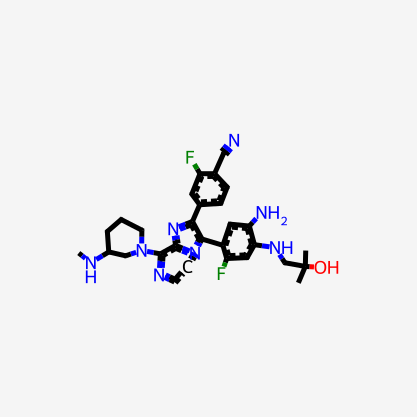 CNC1CCCN(c2nccn3c(-c4cc(N)c(NCC(C)(C)O)cc4F)c(-c4ccc(C#N)c(F)c4)nc23)C1